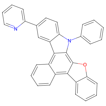 c1ccc(-n2c3ccc(-c4ccccn4)cc3c3c4ccccc4c4c5ccccc5oc4c32)cc1